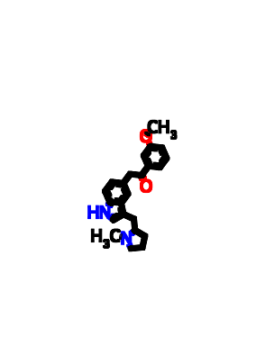 COc1cccc(C(=O)Cc2ccc3[nH]cc(CC4CCCN4C)c3c2)c1